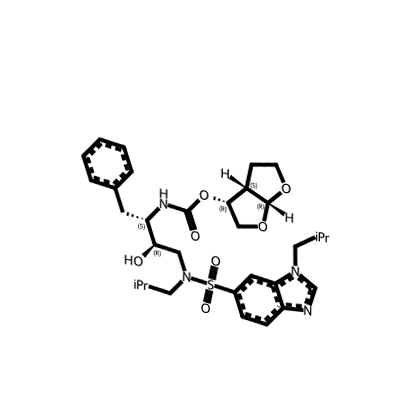 CC(C)CN(C[C@@H](O)[C@H](Cc1ccccc1)NC(=O)O[C@H]1CO[C@H]2OCC[C@H]21)S(=O)(=O)c1ccc2ncn(CC(C)C)c2c1